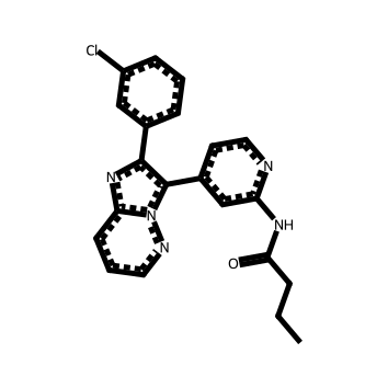 CCCC(=O)Nc1cc(-c2c(-c3cccc(Cl)c3)nc3cccnn23)ccn1